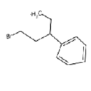 [CH2]CC(CCBr)c1ccccc1